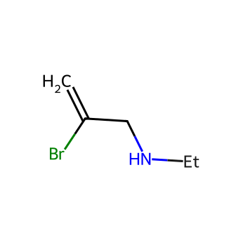 C=C(Br)CNCC